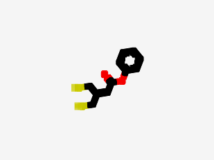 O=C(C=C(CS)CS)Oc1ccccc1